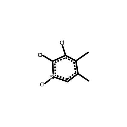 Cc1c[si](Cl)c(Cl)c(Cl)c1C